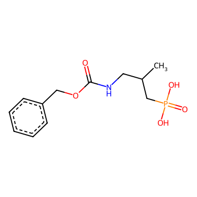 CC(CNC(=O)OCc1ccccc1)CP(=O)(O)O